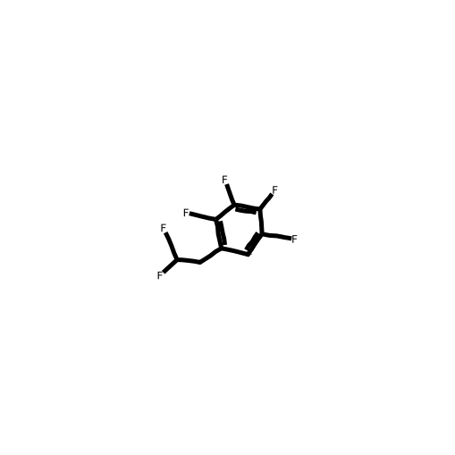 Fc1[c]c(CC(F)F)c(F)c(F)c1F